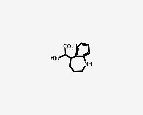 CC(C)(C)C(C(=O)O)C1CCCNc2ccccc21